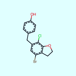 Oc1ccc(Cc2cc(Br)c3c(c2Cl)OCC3)cc1